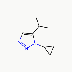 CC(C)c1cnnn1C1CC1